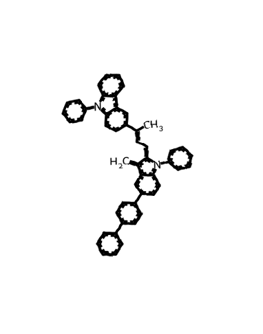 C=c1/c(=C\C=C(/C)c2ccc3c(c2)c2ccccc2n3-c2ccccc2)n(-c2ccccc2)c2ccc(-c3ccc(-c4ccccc4)cc3)cc12